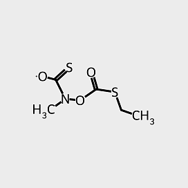 CCSC(=O)ON(C)C([O])=S